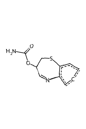 NC(=O)OC1C=Nc2ccccc2SC1